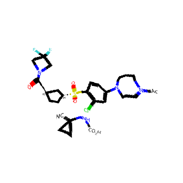 CC(=O)N1CCN(c2ccc(S(=O)(=O)[C@@H]3CC[C@@H](C(=O)N4CC(F)(F)C4)C3)c(Cl)c2)CC1.N#CC1(NC(=O)O)CC1